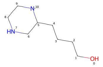 OCCCCC1CNCC[N]1